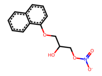 O=[N+]([O-])OCC(O)COc1cccc2ccccc12